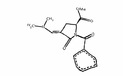 COC(=O)[C@@H]1C/C(=C\N(C)C)C(=O)N1C(=O)c1ccccc1